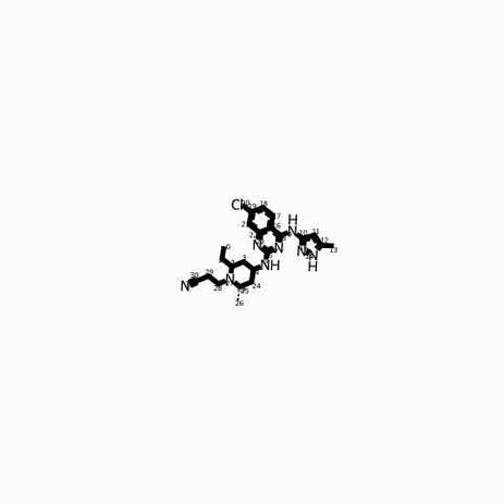 CCC1CC(Nc2nc(Nc3cc(C)[nH]n3)c3ccc(Cl)cc3n2)C[C@H](C)N1CCC#N